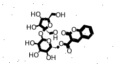 O=C(OC[C@H]1O[C@H](O[C@]2(CO)O[C@H](CO)[C@@H](O)[C@@H]2O)[C@H](O)[C@@H](O)[C@@H]1O)c1cc2ccccc2oc1=O